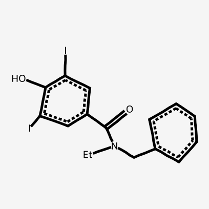 CCN(Cc1ccccc1)C(=O)c1cc(I)c(O)c(I)c1